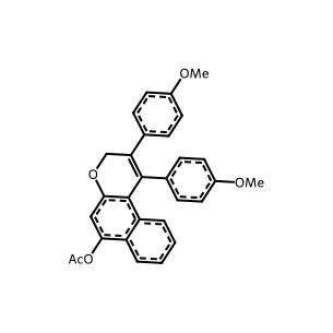 COc1ccc(C2=C(c3ccc(OC)cc3)c3c(cc(OC(C)=O)c4ccccc34)OC2)cc1